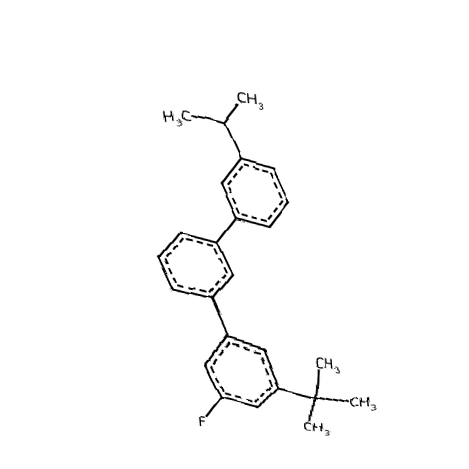 CC(C)c1cccc(-c2cccc(-c3cc(F)cc(C(C)(C)C)c3)c2)c1